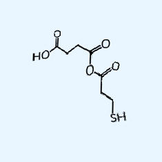 O=C(O)CCC(=O)OC(=O)CCS